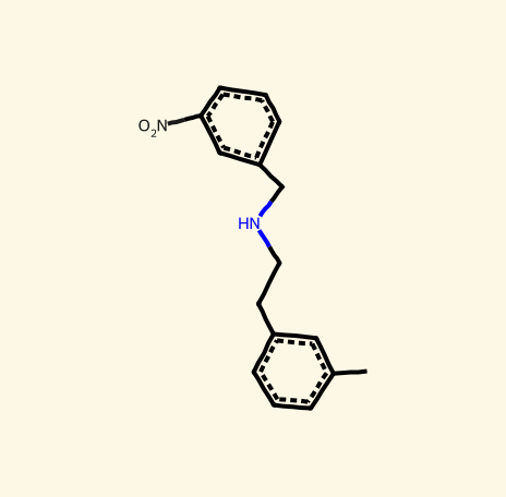 Cc1cccc(CCNCc2cccc([N+](=O)[O-])c2)c1